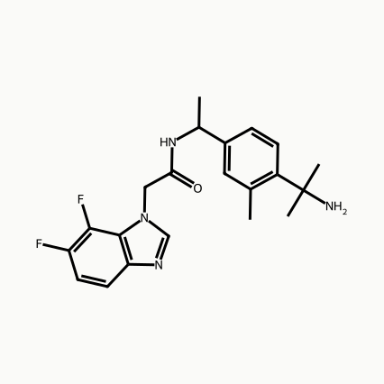 Cc1cc(C(C)NC(=O)Cn2cnc3ccc(F)c(F)c32)ccc1C(C)(C)N